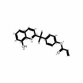 C=CC(=O)Oc1ccc(C(C)(C)c2ccc3cccc(O)c3n2)cc1